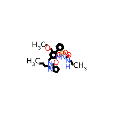 CCCCC1=NC2(CCCC2)C(=O)N1Cc1ccc(-c2ccccc2S(=O)(=O)NC(=O)NCCC)c(COCC)c1